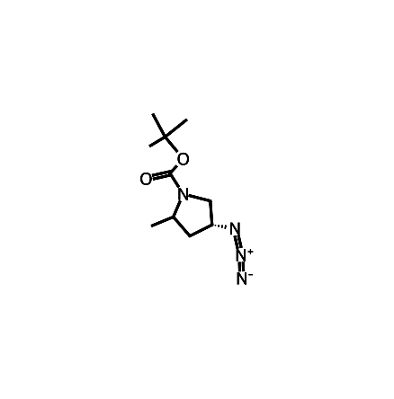 CC1C[C@@H](N=[N+]=[N-])CN1C(=O)OC(C)(C)C